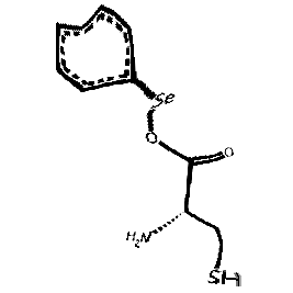 N[C@@H](CS)C(=O)O[Se]c1ccccc1